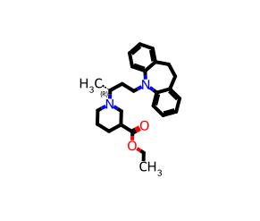 CCOC(=O)C1CCCN([C@H](C)CCN2c3ccccc3CCc3ccccc32)C1